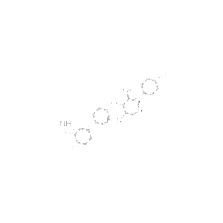 NCc1cc(-c2ccc(Oc3c(N)cnn(-c4ccc(Cl)cc4)c3=O)cc2)ccc1F